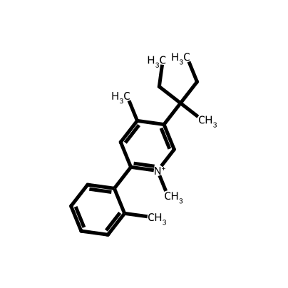 CCC(C)(CC)c1c[n+](C)c(-c2ccccc2C)cc1C